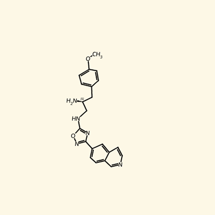 COc1ccc(C[C@H](N)CNc2nc(-c3ccc4cnccc4c3)no2)cc1